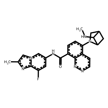 CNC1C2CC1N(c1ccc(C(=O)Nc3cc(F)c4nc(C)cn4c3)c3nnccc13)C2